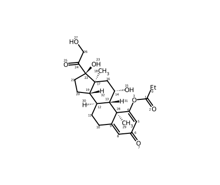 CCC(=O)OC1=CC(=O)C=C2CC[C@@H]3[C@H]([C@@H](O)C[C@@]4(C)[C@H]3CC[C@]4(O)C(=O)CO)[C@]21C